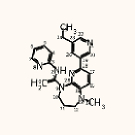 C=C(Nc1ccccn1)N1CCCN(C)c2ccc(-c3cncc(CC)c3)nc21